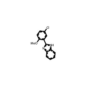 COc1ccc(Cl)cc1-c1nc2ccccc2[nH]1